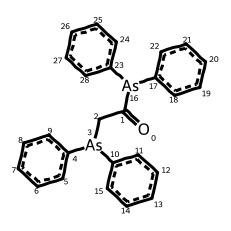 O=C(C[As](c1ccccc1)c1ccccc1)[As](c1ccccc1)c1ccccc1